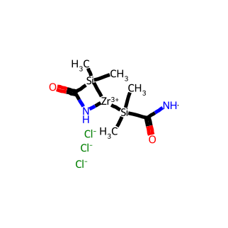 C[Si](C)(C([NH])=O)[Zr+3]1[NH]C(=O)[Si]1(C)C.[Cl-].[Cl-].[Cl-]